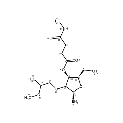 B[C@@H]1O[C@H](CC)[C@H](OC(=O)CCC(=O)NC)C1OCC(C)OC